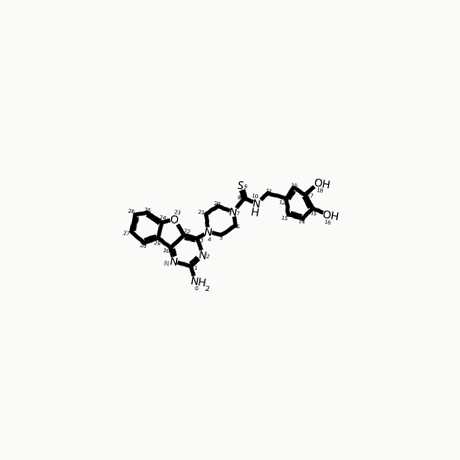 Nc1nc(N2CCN(C(=S)NCc3ccc(O)c(O)c3)CC2)c2oc3ccccc3c2n1